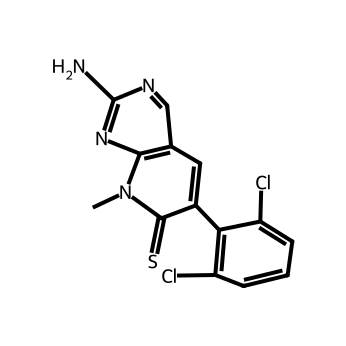 Cn1c(=S)c(-c2c(Cl)cccc2Cl)cc2cnc(N)nc21